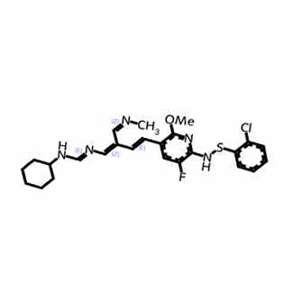 C\N=C/C(=C\N=C\NC1CCCCC1)/C=C/c1cc(F)c(NSc2ccccc2Cl)nc1OC